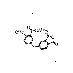 COC(=O)c1cc(Cc2ccc3c(c2)C(=O)OC3=O)ccc1C=O